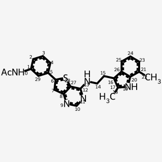 CC(=O)Nc1cccc(-c2cc3ncnc(NCCc4c(C)[nH]c5c(C)cccc45)c3s2)c1